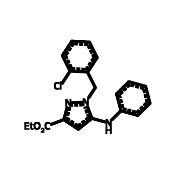 CCOC(=O)c1cc(Nc2ccccc2)n(Cc2ccccc2Cl)n1